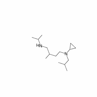 CC(C)CN(CCC(C)CNC(C)C)C1CC1